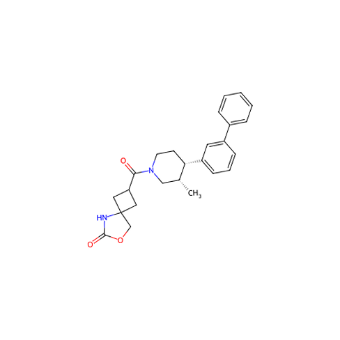 C[C@@H]1CN(C(=O)C2CC3(COC(=O)N3)C2)CC[C@@H]1c1cccc(-c2ccccc2)c1